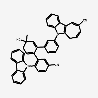 CC1(C#N)C=C(c2cccc(-n3c4c(c5ccccc53)C=C(C#N)C=CC4)c2)C(c2cc(C#N)ccc2-n2c3ccccc3c3ccccc32)=CC1